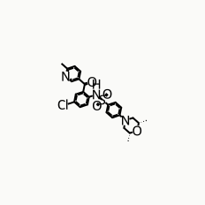 Cc1ccc(C(=O)c2cc(Cl)ccc2NS(=O)(=O)c2ccc(N3C[C@@H](C)O[C@@H](C)C3)cc2)cn1